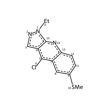 CCn1ncc2c(Cl)c3cc(SC)ccc3nc21